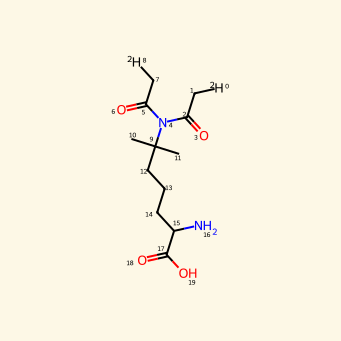 [2H]CC(=O)N(C(=O)C[2H])C(C)(C)CCCC(N)C(=O)O